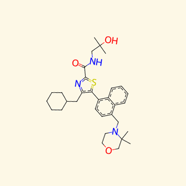 CC(C)(O)CNC(=O)c1nc(CC2CCCCC2)c(-c2ccc(CN3CCOCC3(C)C)c3ccccc23)s1